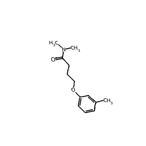 Cc1cccc(OCCCC(=O)N(C)C)c1